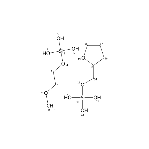 COCCO[Si](O)(O)O.O[Si](O)(O)OCC1CCCO1